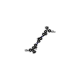 CC(C)(C)c1ccc(N(c2cccnc2)c2ccc3c(c2)C(C)(C)c2cc(/C=C/c4ccc5c(c4)C(C)(C)c4cc(/C=C/c6ccc7c(c6)C(C)(C)c6cc(N(c8ccc(C(C)(C)C)cc8)c8cccnc8)ccc6-7)ccc4-5)ccc2-3)cc1